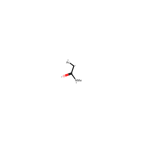 [CH2]NC(=O)CC(C)=O